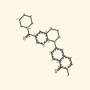 Cn1ccc2cc(N3CCCc4cc(C(=O)N5CCCCC5)cnc43)ccc2c1=O